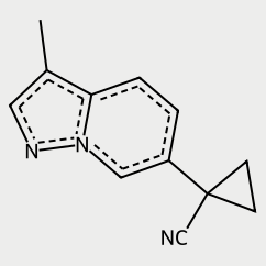 Cc1cnn2cc(C3(C#N)CC3)ccc12